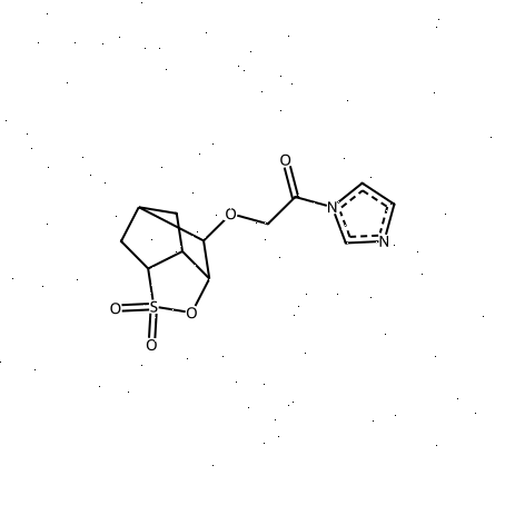 O=C(COC1C2CC3C1OS(=O)(=O)C3C2)n1ccnc1